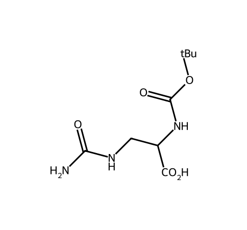 CC(C)(C)OC(=O)NC(CNC(N)=O)C(=O)O